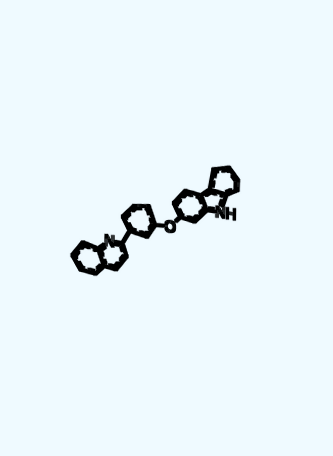 c1cc(Oc2ccc3c(c2)[nH]c2ccccc23)cc(-c2ccc3ccccc3n2)c1